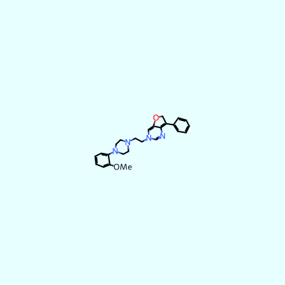 COc1ccccc1N1CCN(CCN2C=NC3=C(c4ccccc4)COC3=C2)CC1